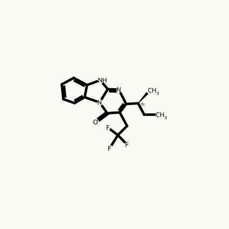 CC[C@H](C)c1nc2[nH]c3ccccc3n2c(=O)c1CC(F)(F)F